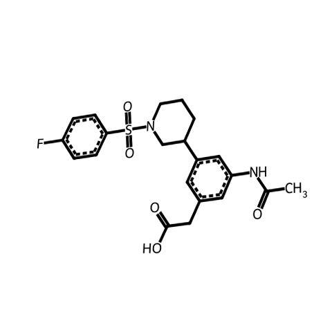 CC(=O)Nc1cc(CC(=O)O)cc(C2CCCN(S(=O)(=O)c3ccc(F)cc3)C2)c1